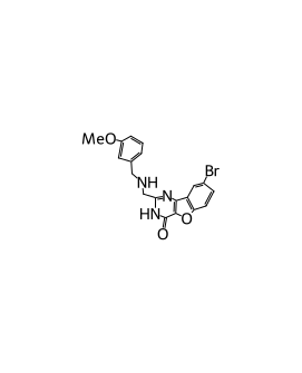 COc1cccc(CNCc2nc3c(oc4ccc(Br)cc43)c(=O)[nH]2)c1